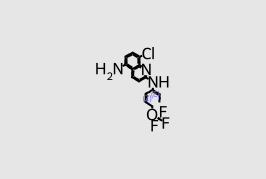 C/C=C(\C=C/COC(F)(F)F)Nc1ccc2c(N)ccc(Cl)c2n1